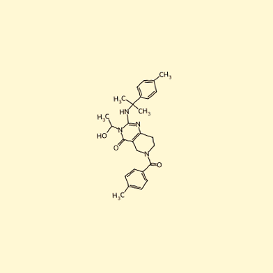 Cc1ccc(C(=O)N2CCc3nc(NC(C)(C)c4ccc(C)cc4)n(C(C)O)c(=O)c3C2)cc1